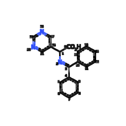 O=C(O)C(N=C(c1ccccc1)c1ccccc1)c1cncnc1